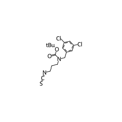 CC(C)(C)OC(=O)N(CCCN=C=S)Cc1cc(Cl)cc(Cl)c1